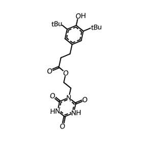 CC(C)(C)c1cc(CCC(=O)OCCn2c(=O)[nH]c(=O)[nH]c2=O)cc(C(C)(C)C)c1O